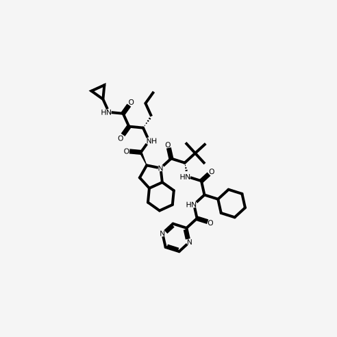 CCC[C@H](NC(=O)[C@@H]1CC2CCCCC2N1C(=O)[C@@H](NC(=O)C(NC(=O)c1cnccn1)C1CCCCC1)C(C)(C)C)C(=O)C(=O)NC1CC1